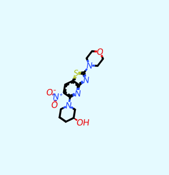 O=[N+]([O-])c1cc2sc(N3CCOCC3)nc2nc1N1CCC[C@H](O)C1